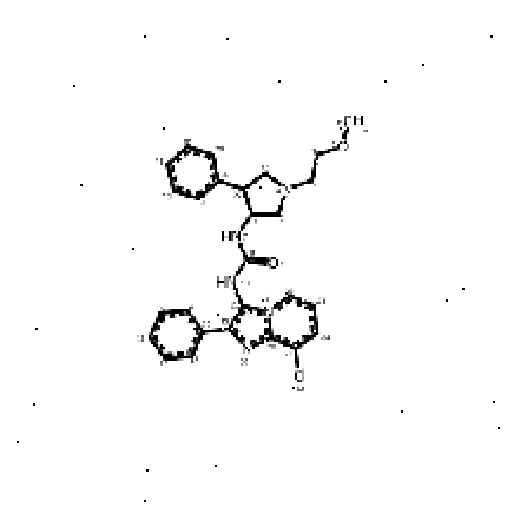 COCCN1CC(NC(=O)Nc2c(-c3ccccc3)nc3c(Cl)cccn23)C(c2ccccc2)C1